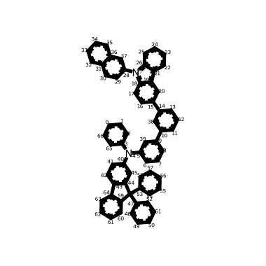 c1ccc(N(c2cccc(-c3cccc(-c4ccc5c(c4)c4ccccc4n5-c4ccc5ccccc5c4)c3)c2)c2ccc3c(c2)C(c2ccccc2)(c2ccccc2)c2ccccc2-3)cc1